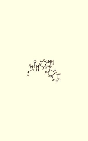 CCCN(C)C(=O)Nc1ccc2[nH]cc(C3=CCN4CCCCC4C3)c2c1